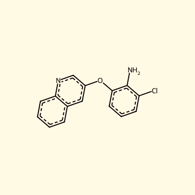 Nc1c(Cl)cccc1Oc1cnc2ccccc2c1